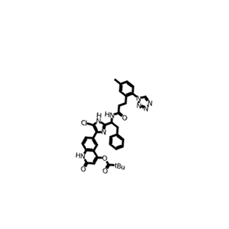 Cc1ccc(-n2cnnn2)c(CCC(=O)NC(Cc2ccccc2)c2nc(-c3ccc4[nH]c(=O)cc(OC(=O)C(C)(C)C)c4c3)c(Cl)[nH]2)c1